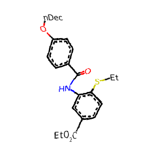 CCCCCCCCCCOc1ccc(C(=O)Nc2cc(C(=O)OCC)ccc2SCC)cc1